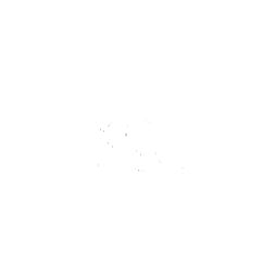 Cc1nn(C)c(-n2cc(Br)cn2)c1C=O